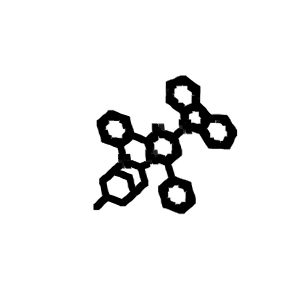 CC1CC2CC(C)N(c3ccccc3-c3nc(-c4ccccc4)cc(-n4c5ccccc5c5ccccc54)n3)C(C1)C2